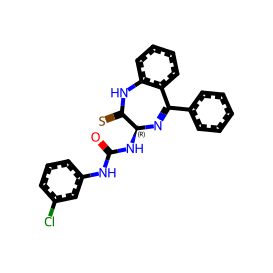 O=C(Nc1cccc(Cl)c1)N[C@@H]1N=C(c2ccccc2)c2ccccc2NC1=S